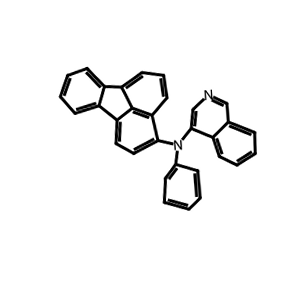 c1ccc(N(c2cncc3ccccc23)c2ccc3c4c(cccc24)-c2ccccc2-3)cc1